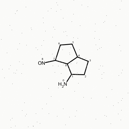 NC1CCC2CCC(N=O)C12